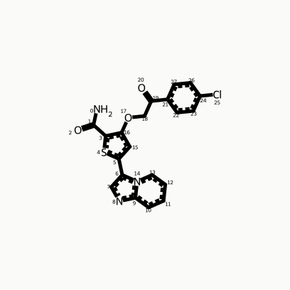 NC(=O)c1sc(-c2cnc3ccccn23)cc1OCC(=O)c1ccc(Cl)cc1